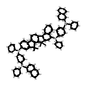 CC1(C)c2cc(N(c3ccccc3)c3ccc(N(c4ccccc4)c4ccc5ccccc5c4)cc3)ccc2-c2ccc3c(c21)C(C)(C)c1cc(N(c2ccccc2)c2ccc(N(c4ccccc4)c4ccc5ccccc5c4)cc2)c2ccccc2c1-3